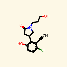 C#Cc1c(Cl)ccc(O)c1C1CC(=O)N(CCCO)C1